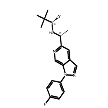 C[C@@H](N[S@+]([O-])C(C)(C)C)c1cc2cnn(-c3ccc(F)cc3)c2cn1